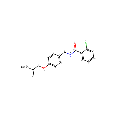 CC(COc1ccc(CNC(=O)c2ccccc2Cl)cc1)C(=O)O